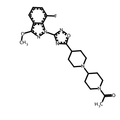 COc1nn(-c2noc(C3CCN(C4CCN(C(C)=O)CC4)CC3)n2)c2c(F)cccc12